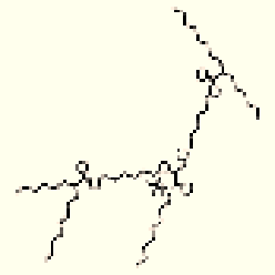 CCCCCCCCC(CCCCCC)C(=O)OCCCCCCOCC(OCCCCCCOC(=O)C(CCCCCC)CCCCCCCC)C(=O)N(CCCCCCCC)C(C)(C)C